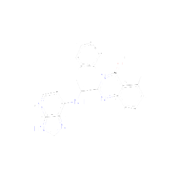 Cc1cccc2nc(C(C)Nc3ccnc4[nH]cnc34)n(-c3ccccc3)c(=O)c12